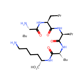 CC[C@H](C)[C@H](N)C(=O)N[C@@H](CC(C)C)C(=O)N[C@H](C(=O)N[C@H](C(=O)N[C@@H](CCCCN)C(=O)O)[C@@H](C)CC)C(C)C